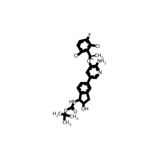 C[C@@H](Oc1cc(-c2ccc3c(c2)CC(O)C3NC(=O)OC(C)(C)C)cnc1N)c1c(Cl)ccc(F)c1Cl